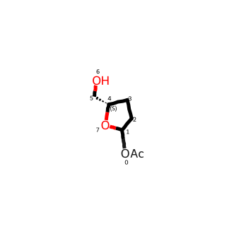 CC(=O)OC1CC[C@@H](CO)O1